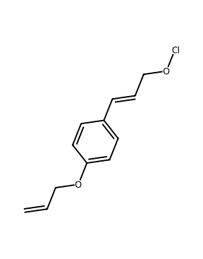 C=CCOc1ccc(C=CCOCl)cc1